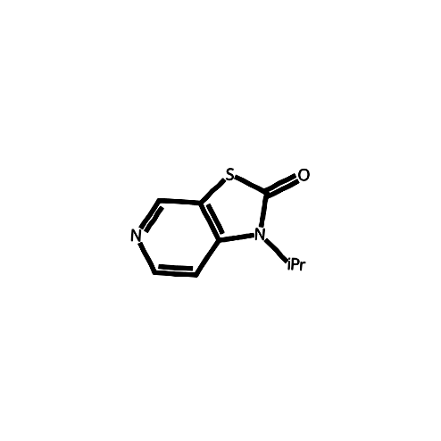 CC(C)n1c(=O)sc2cnccc21